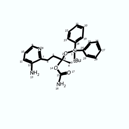 CC(C)(C)[Si](O[C@@](C)(CCc1ncccc1N)OC(N)=O)(c1ccccc1)c1ccccc1